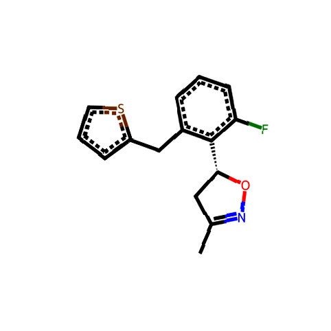 CC1=NO[C@@H](c2c(F)cccc2Cc2cccs2)C1